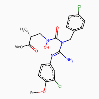 COC(=O)[C@H](C)CN(O)C(=O)N(Cc1ccc(Cl)cc1)/C(N)=N/c1ccc(OC(C)C)c(Cl)c1